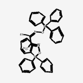 CCC(=NO[Si](c1ccccc1)(c1ccccc1)c1ccccc1)C(C)=NO[Si](c1ccccc1)(c1ccccc1)c1ccccc1